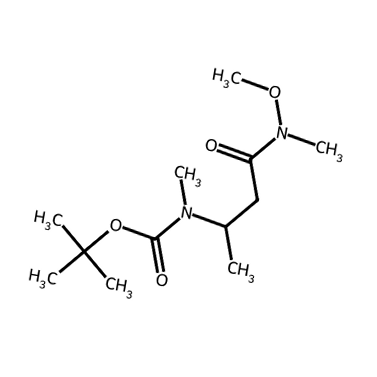 CON(C)C(=O)CC(C)N(C)C(=O)OC(C)(C)C